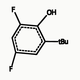 CC(C)(C)c1cc(F)cc(F)c1O